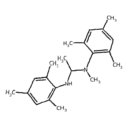 Cc1cc(C)c(NC(C)N(C)c2c(C)cc(C)cc2C)c(C)c1